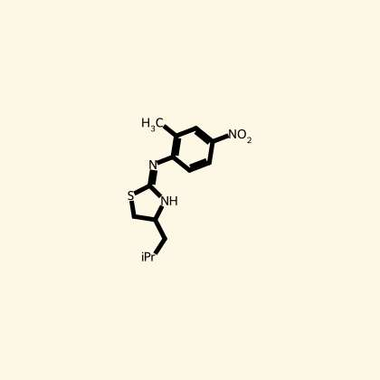 Cc1cc([N+](=O)[O-])ccc1N=C1NC(CC(C)C)CS1